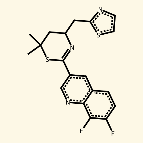 CC1(C)CC(Cc2nccs2)N=C(c2cnc3c(F)c(F)ccc3c2)S1